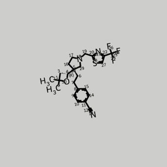 CC1(C)C[C@H]([C@]2(CCc3ccc(C#N)cc3)CCN(Cc3nc(C(F)(F)F)cs3)C2)O1